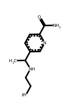 CC(C)CCNC(C)c1ccc(C(N)=O)nc1